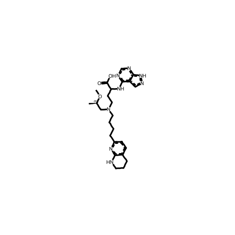 CO[C@H](C)CN(CCCCc1ccc2c(n1)NCCC2)CCC(Nc1ncnc2[nH]ncc12)C(=O)O